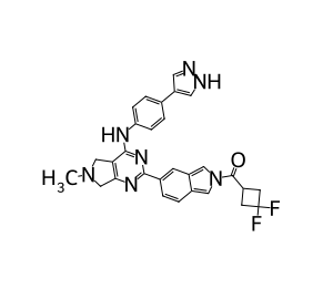 CN1Cc2nc(-c3ccc4cn(C(=O)C5CC(F)(F)C5)cc4c3)nc(Nc3ccc(-c4cn[nH]c4)cc3)c2C1